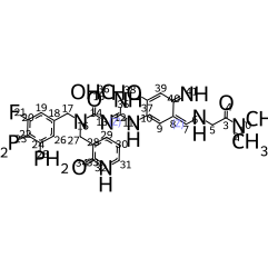 CN(C)C(=O)CN/C=C1/C=C(N/C(=N/C(=O)N(Cc2cc(F)c(P)c(P)c2)Cc2ccc[nH]c2=O)NC=O)C(O)=CC1=N